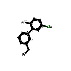 CC(C)Cc1cccc(-c2cc(Cl)ccc2C(C)C)c1